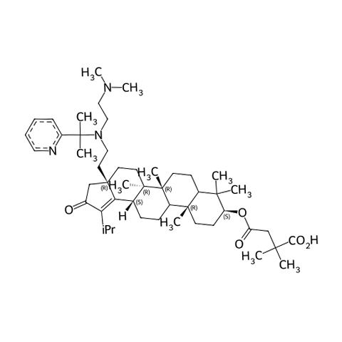 CC(C)C1=C2[C@H]3CCC4[C@@]5(C)CC[C@H](OC(=O)CC(C)(C)C(=O)O)C(C)(C)C5CC[C@@]4(C)[C@]3(C)CC[C@@]2(CCN(CCN(C)C)C(C)(C)c2ccccn2)CC1=O